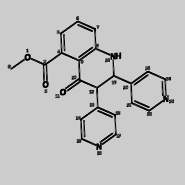 COC(=O)c1cccc2c1C(=O)C(c1ccncc1)C(c1ccncc1)N2